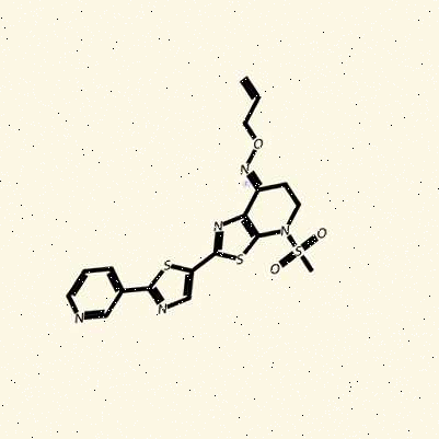 C=CCO/N=C1\CCN(S(C)(=O)=O)c2sc(-c3cnc(-c4cccnc4)s3)nc21